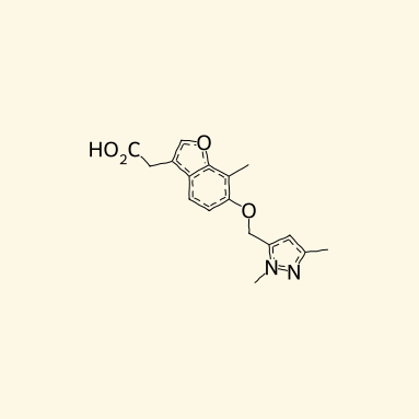 Cc1cc(COc2ccc3c(CC(=O)O)coc3c2C)n(C)n1